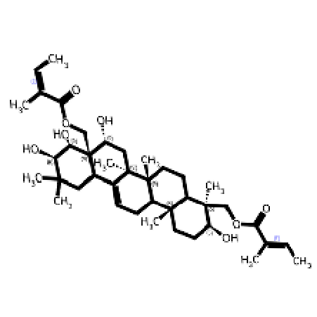 C/C=C(/C)C(=O)OC[C@@]12C(CC(C)(C)[C@@H](O)[C@@H]1O)C1=CCC3[C@@]4(C)CC[C@H](O)[C@](C)(COC(=O)/C(C)=C/C)C4CC[C@@]3(C)[C@]1(C)C[C@H]2O